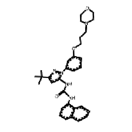 CC(C)(C)c1cc(NC(=O)Nc2cccc3ccccc23)n(-c2cccc(OCCCN3CCOCC3)c2)n1